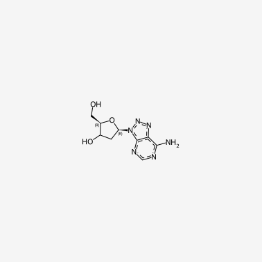 Nc1ncnc2c1nnn2[C@H]1CC(O)[C@@H](CO)O1